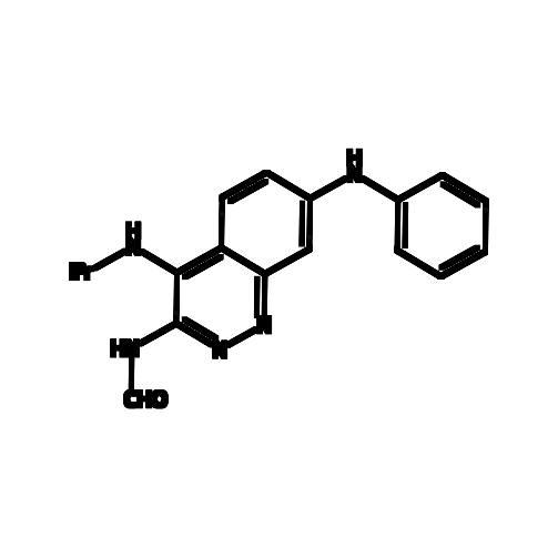 CC(C)Nc1c(NC=O)nnc2cc(Nc3ccccc3)ccc12